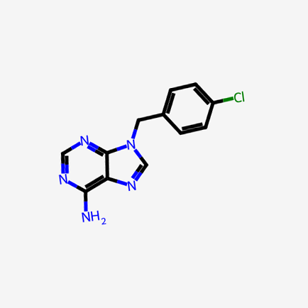 Nc1ncnc2c1ncn2Cc1ccc(Cl)cc1